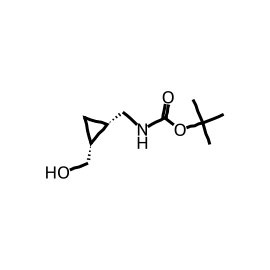 CC(C)(C)OC(=O)NC[C@H]1C[C@H]1CO